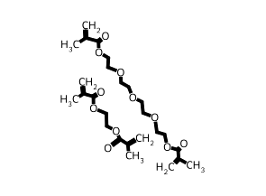 C=C(C)C(=O)OCCOC(=O)C(=C)C.C=C(C)C(=O)OCCOCCOCCOCCOC(=O)C(=C)C